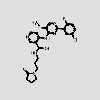 COc1cnc(-c2cc(Cl)ccc2F)nc1Nc1ccncc1C(O)NCCCN1CCCC1=O